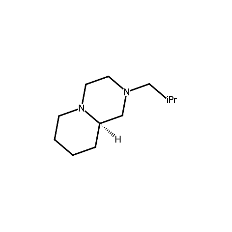 CC(C)CN1CCN2CCCC[C@@H]2C1